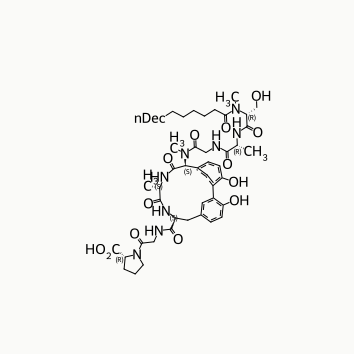 CCCCCCCCCCCCCCCC(=O)N(C)[C@H](CO)C(=O)N[C@H](C)C(=O)NCC(=O)N(C)[C@@H]1C(=O)N[C@@H](C)C(=O)N[C@H](C(=O)NCC(=O)N2CCC[C@@H]2C(=O)O)Cc2ccc(O)c(c2)-c2cc1ccc2O